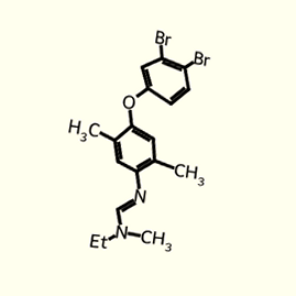 CCN(C)C=Nc1cc(C)c(Oc2ccc(Br)c(Br)c2)cc1C